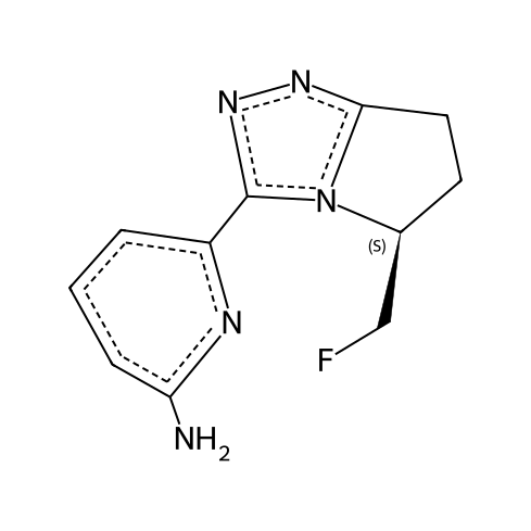 Nc1cccc(-c2nnc3n2[C@H](CF)CC3)n1